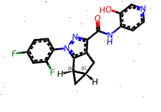 O=C(Nc1ccncc1O)c1nn(-c2ccc(F)cc2F)c2c1C[C@@H]1C[C@H]21